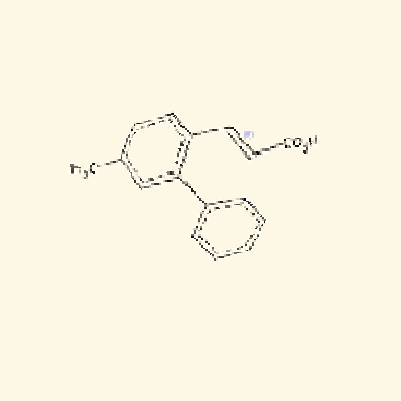 Cc1ccc(/C=C/C(=O)O)c(-c2ccccc2)c1